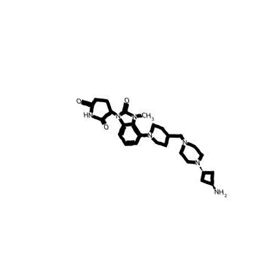 Cn1c(=O)n(C2CCC(=O)NC2=O)c2cccc(N3CCC(CN4CCN([C@H]5C[C@H](N)C5)CC4)CC3)c21